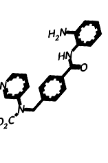 Nc1ccccc1NC(=O)c1ccc(CN(C(=O)O)c2cccnc2)cc1